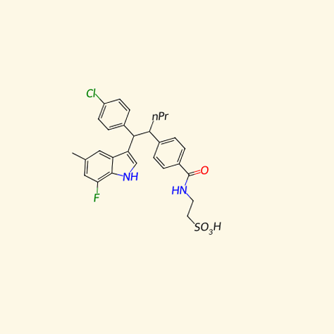 CCCC(c1ccc(C(=O)NCCS(=O)(=O)O)cc1)C(c1ccc(Cl)cc1)c1c[nH]c2c(F)cc(C)cc12